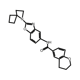 O=C(Nc1ccc2oc(N3CCC34CCC4)nc2c1)c1ccc2c(c1)CCCO2